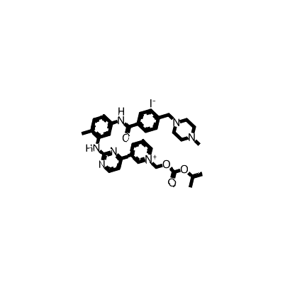 Cc1ccc(NC(=O)c2ccc(CN3CCN(C)CC3)cc2)cc1Nc1nccc(-c2ccc[n+](COC(=O)OC(C)C)c2)n1.[I-]